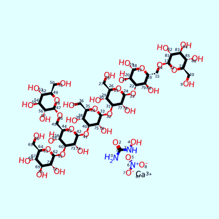 NC(=O)NO.O=[N+]([O-])[O-].OC[C@H]1O[C@@H](OC[C@H]2O[C@@H](O)[C@H](O)[C@@H](O[C@@H]3O[C@H](CO)[C@@H](O)[C@H](O[C@@H]4O[C@H](CO)[C@@H](O)[C@H](O[C@@H]5O[C@H](CO[C@@H]6O[C@H](CO)[C@@H](O)[C@H](O)[C@H]6O)[C@@H](O)[C@H](O[C@@H]6O[C@H](CO)[C@@H](O)[C@H](O)[C@H]6O)[C@H]5O)[C@H]4O)[C@H]3O)[C@@H]2O)[C@H](O)[C@@H](O)[C@@H]1O.[Ga+3]